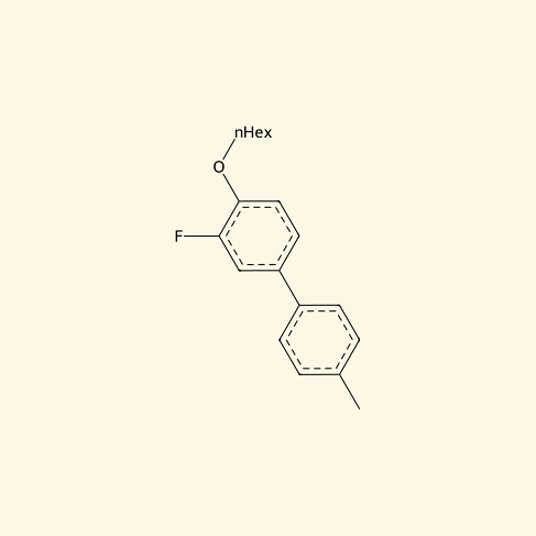 CCCCCCOc1ccc(-c2ccc(C)cc2)cc1F